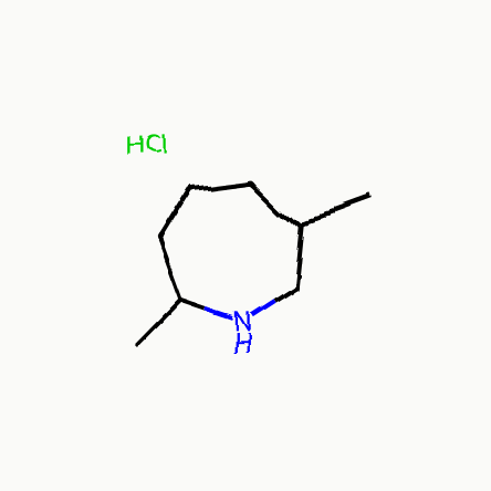 CC1CCCC(C)NC1.Cl